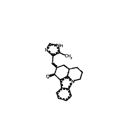 Cc1[nH]cnc1C=C1CC2CCCn3c2c(c2ccccc23)C1=O